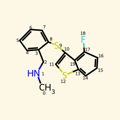 CNCc1ccccc1Sc1csc2cccc(F)c12